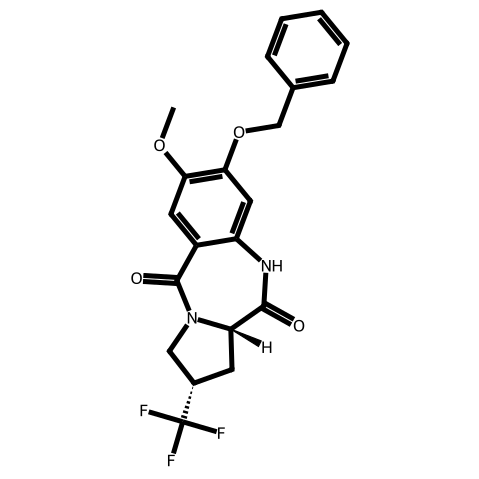 COc1cc2c(cc1OCc1ccccc1)NC(=O)[C@@H]1C[C@H](C(F)(F)F)CN1C2=O